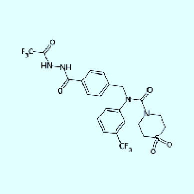 O=C(NNC(=O)C(F)(F)F)c1ccc(CN(C(=O)N2CCS(=O)(=O)CC2)c2cccc(C(F)(F)F)c2)cc1